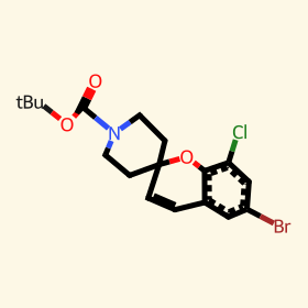 CC(C)(C)OC(=O)N1CCC2(C=Cc3cc(Br)cc(Cl)c3O2)CC1